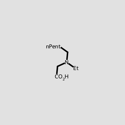 CCCCCCN(CC)CC(=O)O